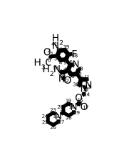 CC(=O)c1cc(-c2ncc(-c3cnn(COC(=O)N4CCC(N5CCCCC5)CC4)c3)c3onc(N)c23)c(F)cc1N